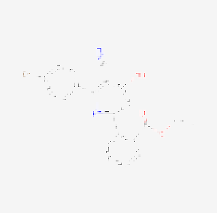 CCOC(=O)c1ccccc1-c1cc(O)c(C#N)c(-c2ccc(Br)cc2)n1